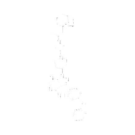 Nc1ncnc2c1c(-c1ccc(Oc3ccccc3)cc1)nn2C1CCN(C2CN(C(=O)CC34CC5CC(CC(C5)C3)C4)C2)CC1